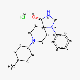 CC1CCC(N2CCC3(CC2)C(=O)NCN3c2ccccc2)CC1.Cl